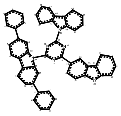 c1ccc(-c2ccc3c4ccc(-c5ccccc5)cc4n(-c4nc(-c5ccc6oc7ccccc7c6c5)nc(-n5c6ccccc6c6ccccc65)n4)c3c2)cc1